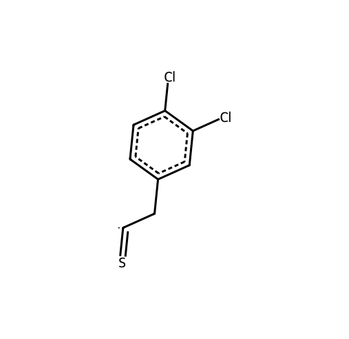 S=[C]Cc1ccc(Cl)c(Cl)c1